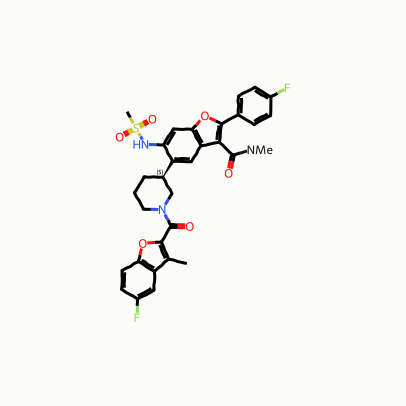 CNC(=O)c1c(-c2ccc(F)cc2)oc2cc(NS(C)(=O)=O)c([C@@H]3CCCN(C(=O)c4oc5ccc(F)cc5c4C)C3)cc12